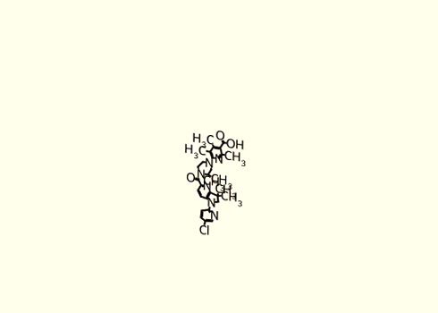 Cc1nc(N2CCN(C(=O)c3ccc4c(n3)C(C)(C)CN4c3ccc(Cl)cn3)C(C)(C)C2)c(C)c(C)c1C(=O)O